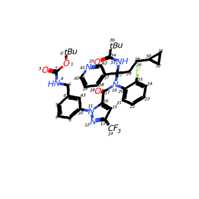 CC(C)(C)OC(=O)NCc1cccc(-n2nc(C(F)(F)F)cc2C(=O)N(c2ccccc2F)C(CCC2CC2)(NC(=O)C(C)(C)C)c2cccnc2)c1